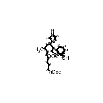 CCCCCCCCCCCCCCCCC(C)CC(CCCCCCCCCCCC)[n+]1cc[nH]c1.O=C([O-])c1ccccc1O